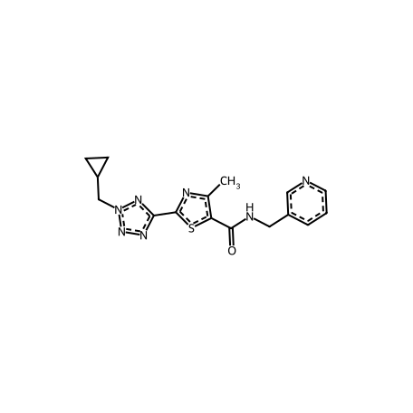 Cc1nc(-c2nnn(CC3CC3)n2)sc1C(=O)NCc1cccnc1